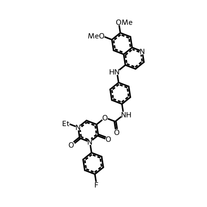 CCn1cc(OC(=O)Nc2ccc(Nc3ccnc4cc(OC)c(OC)cc34)cc2)c(=O)n(-c2ccc(F)cc2)c1=O